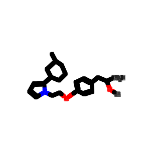 CCOC(Cc1ccc(OCCn2cccc2C2CCCC(C)C2)cc1)C(=O)O